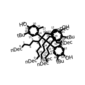 CCCCCCCCCCCCCC(CCCCCCCCCCCCC)C(CCCCCCCCCCCCC)(c1cc(C(C)(C)C)c(O)cc1C)C(CCCCCCCCCCCCC)(CCCCCCCCCCCCC)C(CCCCCCCCCCCCC)(c1cc(C(C)(C)C)c(O)cc1C)c1cc(C(C)(C)C)c(O)cc1C